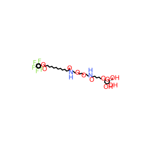 O=C(CCCCCCCCCCC(=O)Oc1c(F)c(F)c(F)c(F)c1F)NCCOCCOCCNC(=O)CCCCO[C@H]1C[C@@H](O)[C@@H](O)[C@@H](CO)O1